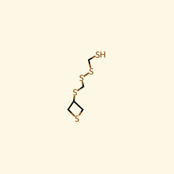 SCSSCSC1CSC1